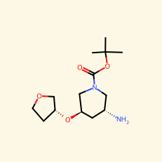 CC(C)(C)OC(=O)N1C[C@H](N)C[C@@H](O[C@@H]2CCOC2)C1